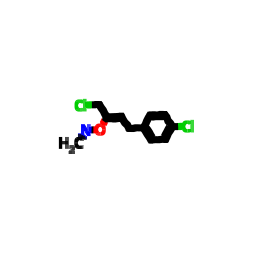 C=NO/C(=C\Cc1ccc(Cl)cc1)CCl